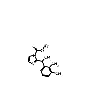 Cc1cccc(C(C)c2nccn2C(=O)OC(C)C)c1C